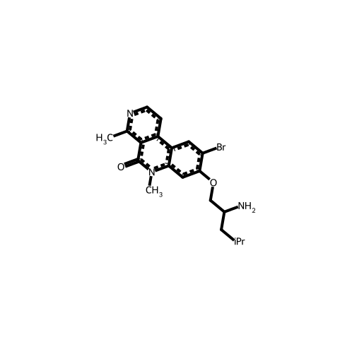 Cc1nccc2c1c(=O)n(C)c1cc(OCC(N)CC(C)C)c(Br)cc21